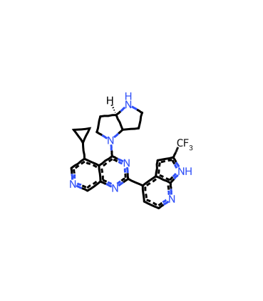 FC(F)(F)c1cc2c(-c3nc(N4CC[C@H]5NCCC54)c4c(C5CC5)cncc4n3)ccnc2[nH]1